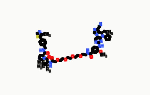 CC[C@@H]1c2c(C#N)ncn2-c2cnc(Nc3ccc(C(=O)NCCOCCOCCOCCOCC(=O)N[C@H](C(=O)N4CCC[C@H]4C(=O)NCc4ccc(-c5scnc5C)cc4)C(C)(C)C)cc3OC)nc2N1C1CCCC1